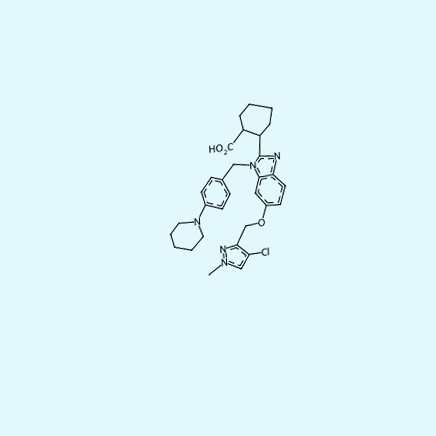 Cn1cc(Cl)c(COc2ccc3nc(C4CCCCC4C(=O)O)n(Cc4ccc(N5CCCCC5)cc4)c3c2)n1